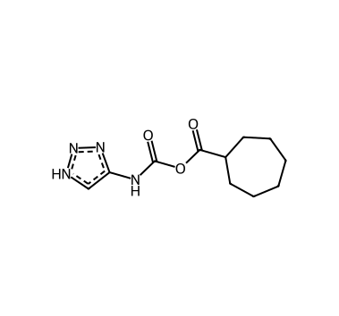 O=C(Nc1c[nH]nn1)OC(=O)C1CCCCCC1